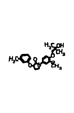 COc1cc(N2CCC(Oc3cccc(C)c3)C2=O)ccc1OCC(C)(C)O